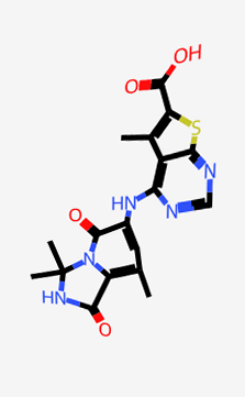 Cc1cc(Nc2ncnc3sc(C(=O)O)c(C)c23)c(=O)n2c1C(=O)NC2(C)C